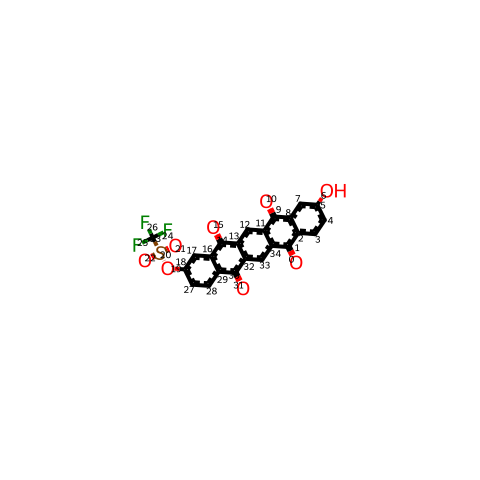 O=c1c2ccc(O)cc2c(=O)c2cc3c(=O)c4cc(OS(=O)(=O)C(F)(F)F)ccc4c(=O)c3cc12